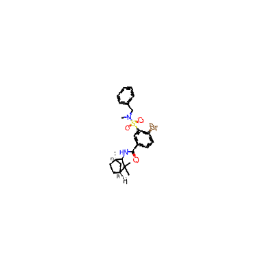 CN(Cc1ccccc1)S(=O)(=O)c1cc(C(=O)NC2C(C)(C)[C@@H]3CC[C@]2(C)C3)ccc1Br